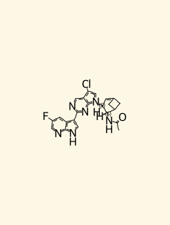 CC(=O)N[C@H]1C2CC(=C[C@@H]1n1cc(Cl)c3cnc(-c4c[nH]c5ncc(F)cc45)nc31)C2